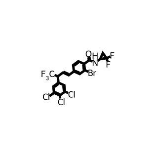 O=C(NC1CC1(F)F)c1ccc(/C=C/C(c2cc(Cl)c(Cl)c(Cl)c2)C(F)(F)F)cc1Br